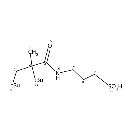 CC(C)(C)CC(C)(C(=O)NCCCS(=O)(=O)O)C(C)(C)C